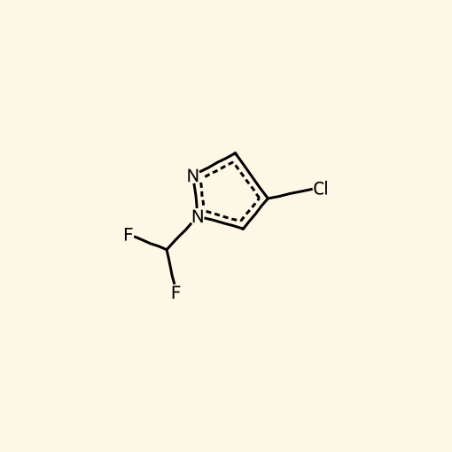 FC(F)n1cc(Cl)cn1